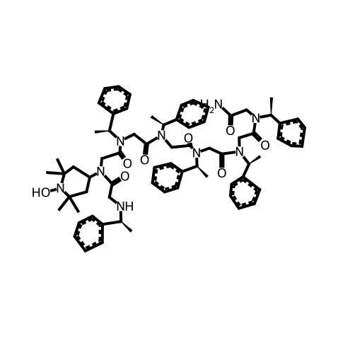 C[C@H](NCC(=O)N(CC(=O)N(CC(=O)N(CC(=O)N(CC(=O)N(CC(=O)N(CC(N)=O)[C@@H](C)c1ccccc1)[C@@H](C)c1ccccc1)[C@@H](C)c1ccccc1)[C@@H](C)c1ccccc1)[C@@H](C)c1ccccc1)C1CC(C)(C)N(O)C(C)(C)C1)c1ccccc1